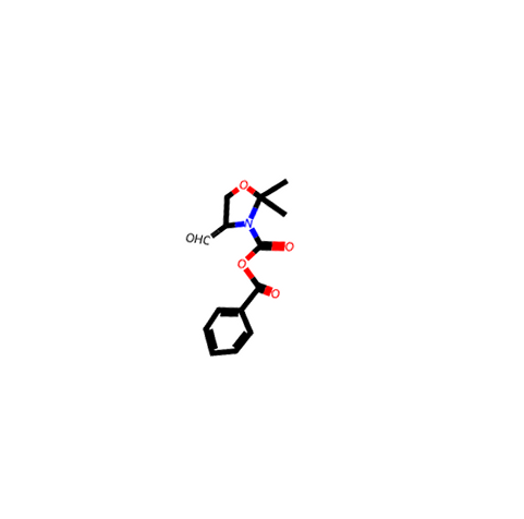 CC1(C)OCC(C=O)N1C(=O)OC(=O)c1ccccc1